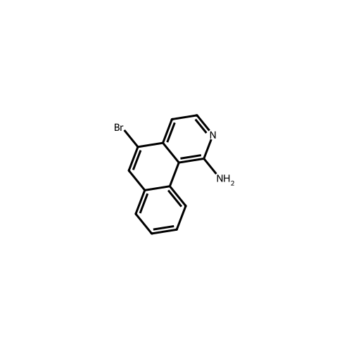 Nc1nccc2c(Br)cc3ccccc3c12